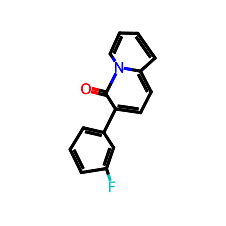 O=c1c(-c2cccc(F)c2)ccc2ccccn12